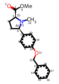 COC(=O)[C@@H]1CC[C@H](c2ccc(OCc3ccccc3)cc2)N1C